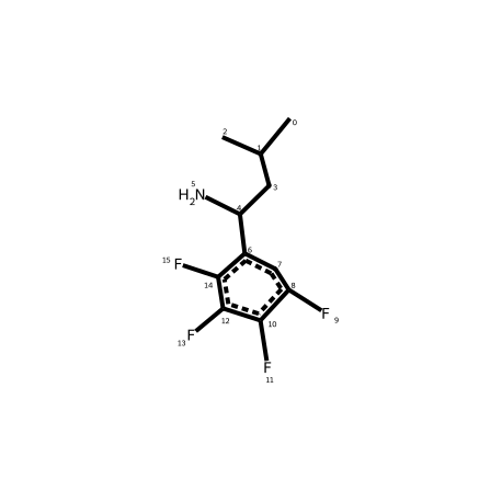 CC(C)CC(N)c1cc(F)c(F)c(F)c1F